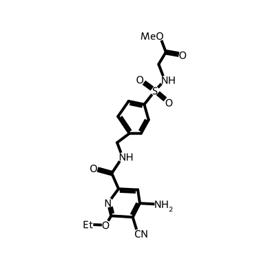 CCOc1nc(C(=O)NCc2ccc(S(=O)(=O)NCC(=O)OC)cc2)cc(N)c1C#N